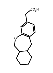 O=C(O)Cc1ccc2c(c1)OCC1CCCCC1C2